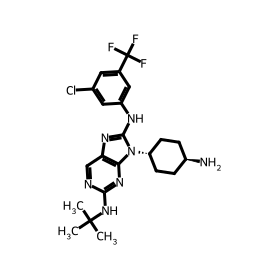 CC(C)(C)Nc1ncc2nc(Nc3cc(Cl)cc(C(F)(F)F)c3)n([C@H]3CC[C@H](N)CC3)c2n1